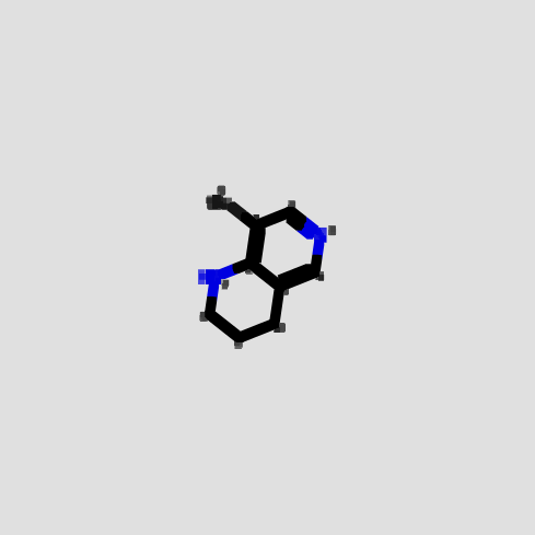 CC(C)(C)c1cncc2c1NCCC2